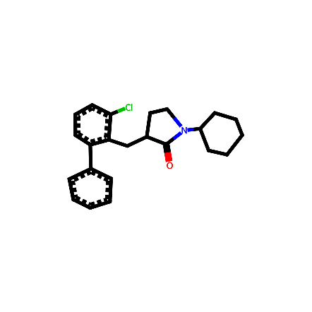 O=C1C(Cc2c(Cl)cccc2-c2ccccc2)CCN1C1CCCCC1